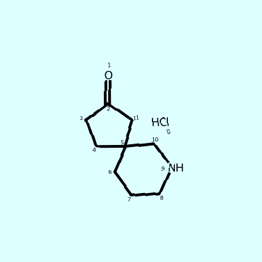 Cl.O=C1CCC2(CCCNC2)C1